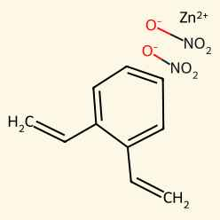 C=Cc1ccccc1C=C.O=[N+]([O-])[O-].O=[N+]([O-])[O-].[Zn+2]